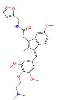 COc1ccc2c(c1)C(CC(=O)NCc1ccco1)=C(C)C2=Cc1cc(OC)c(OCCN(C)C)c(OC)c1